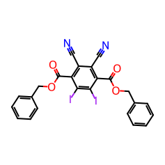 N#Cc1c(C#N)c(C(=O)OCc2ccccc2)c(I)c(I)c1C(=O)OCc1ccccc1